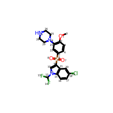 COc1ccc(S(=O)(=O)c2cn(C(F)F)c3ccc(Cl)cc23)cc1N1CCNCC1